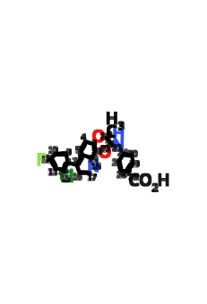 C[C@@H](Oc1ccc2c(-c3ccc(F)cc3Cl)ccnc2c1)C(=O)Nc1ccc(C(=O)O)cc1